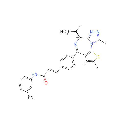 Cc1sc2c(c1C)C(c1ccc(C=CC(=O)Nc3cccc(C#N)c3)cc1)=N[C@@H](C(C)C(=O)O)c1nnc(C)n1-2